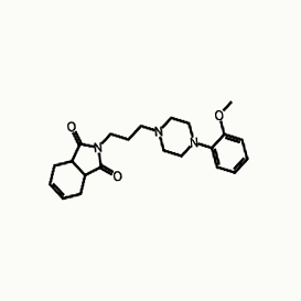 COc1ccccc1N1CCN(CCCN2C(=O)C3CC=CCC3C2=O)CC1